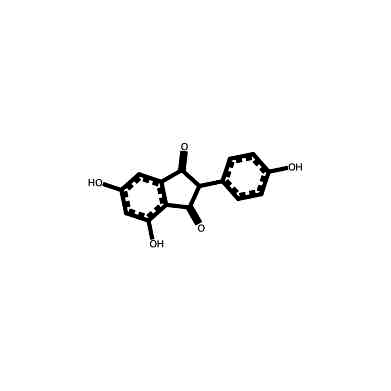 O=C1c2cc(O)cc(O)c2C(=O)C1c1ccc(O)cc1